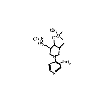 CC1CN(c2ccncc2N)CC(NC(=O)O)C1O[Si](C)(C)C(C)(C)C